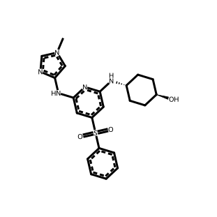 Cn1cnc(Nc2cc(S(=O)(=O)c3ccccc3)cc(N[C@H]3CC[C@H](O)CC3)n2)c1